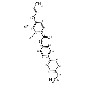 C/C=C/Oc1ccc(C(=O)Oc2ccc(C3CCC(CC)CC3)cc2)c(F)c1F